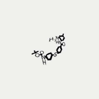 Cc1ccc(NC(=O)c2ccc(Sc3ccc(NC(=O)OC(C)(C)C)cc3)cc2)c(N)c1